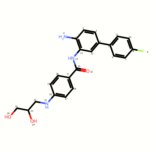 Nc1ccc(-c2ccc(F)cc2)cc1NC(=O)c1ccc(NCC(O)CO)cc1